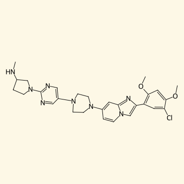 CNC1CCN(c2ncc(N3CCN(c4ccn5cc(-c6cc(Cl)c(OC)cc6OC)nc5c4)CC3)cn2)C1